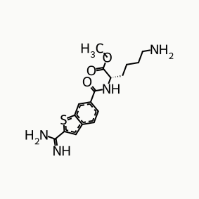 COC(=O)[C@H](CCCCN)NC(=O)c1ccc2cc(C(=N)N)sc2c1